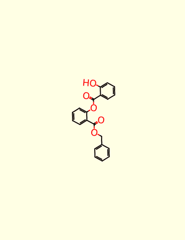 O=C(Oc1ccccc1C(=O)OCc1ccccc1)c1ccccc1O